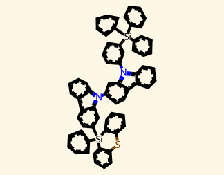 c1ccc([Si](c2ccccc2)(c2ccccc2)c2cccc(-n3c4ccccc4c4ccc(-n5c6ccccc6c6ccc([Si]7(c8ccccc8)c8ccccc8Sc8ccccc87)cc65)cc43)c2)cc1